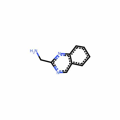 NCc1ncc2ccccc2n1